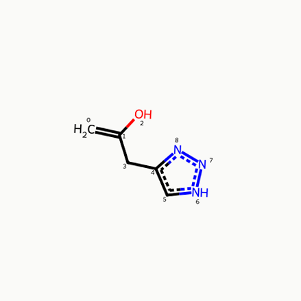 C=C(O)Cc1c[nH]nn1